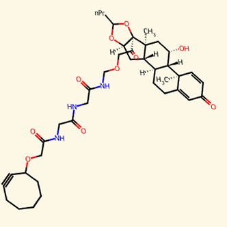 CCCC1O[C@@H]2C[C@H]3[C@@H]4CCC5=CC(=O)C=C[C@]5(C)[C@H]4[C@@H](O)C[C@]3(C)[C@]2(C(=O)COCNC(=O)CNC(=O)CNC(=O)COC2C#CCCCCC2)O1